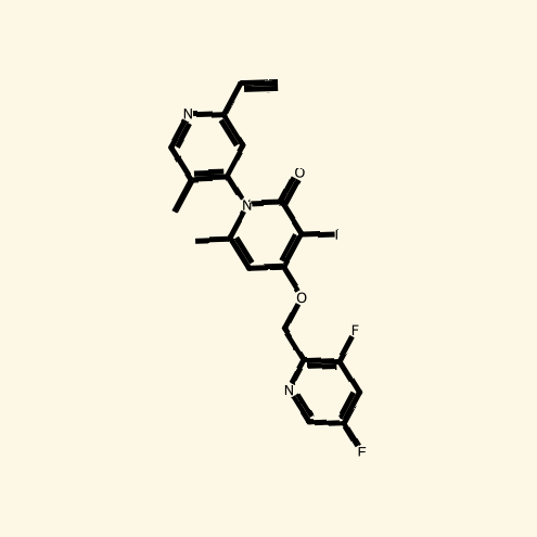 C=Cc1cc(-n2c(C)cc(OCc3ncc(F)cc3F)c(I)c2=O)c(C)cn1